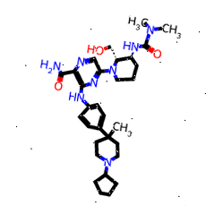 CN(C)C(=O)N[C@@H]1CCCN(c2cnc(C(N)=O)c(Nc3ccc(C4(C)CCN(C5CCCC5)CC4)cc3)n2)[C@@H]1CO